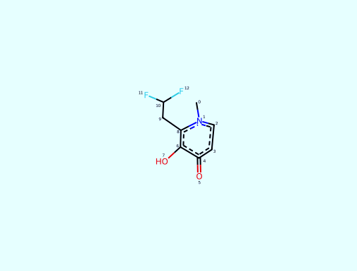 Cn1ccc(=O)c(O)c1CC(F)F